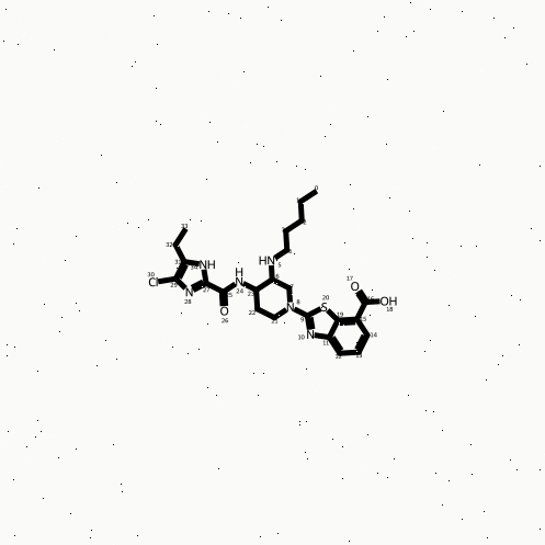 CCCCCNC1CN(c2nc3cccc(C(=O)O)c3s2)CCC1NC(=O)c1nc(Cl)c(CC)[nH]1